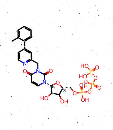 Cc1ccccc1-c1ccnc(Cn2c(=O)ccn([C@@H]3O[C@H](COP(=O)(O)OP(=O)(O)OP(=O)(O)O)C(O)C3O)c2=O)c1